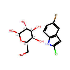 Clc1cc2cc(Br)ccc2[nH]1.OC[C@H]1O[C@@H](O)[C@H](O)[C@@H](O)[C@H]1O